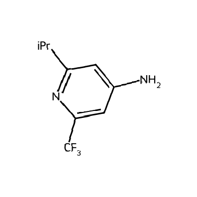 CC(C)c1cc(N)cc(C(F)(F)F)n1